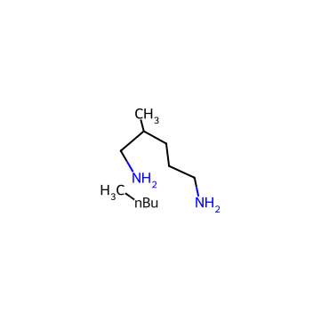 CC(CN)CCCN.CCCCC